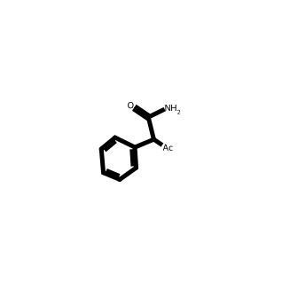 CC(=O)C(C(N)=O)c1ccccc1